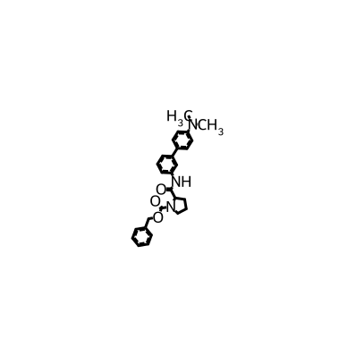 CN(C)c1ccc(-c2cccc(NC(=O)C3CCCN3C(=O)OCc3ccccc3)c2)cc1